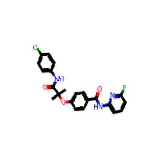 CC(C)(Oc1ccc(C(=O)Nc2cccc(F)n2)cc1)C(=O)Nc1ccc(Cl)cc1